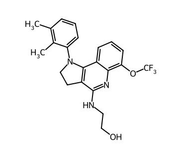 Cc1cccc(N2CCc3c(NCCO)nc4c(OC(F)(F)F)cccc4c32)c1C